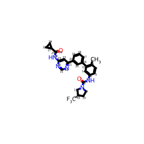 Cc1ccc(NC(=O)N2CC[C@H](C(F)(F)F)C2)cc1-c1cccc(-c2cc(NC(=O)C3CC3)ncn2)c1